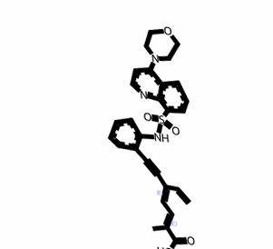 C=C/C(C#Cc1ccccc1NS(=O)(=O)c1cccc2c(N3CCOCC3)ccnc12)=C\C=C(/C)C(=O)O